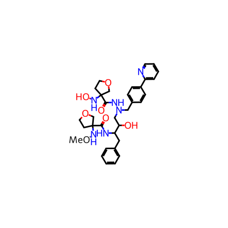 CONC1(C(=O)NC(Cc2ccccc2)C(O)CN(Cc2ccc(-c3ccccn3)cc2)NC(=O)C2(NO)CCOC2)CCOC1